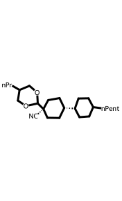 CCCCCC1CCC([C@H]2CC[C@](C#N)(C3OCC(CCC)CO3)CC2)CC1